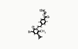 Cc1c(C2CC2)cc(Br)c(=O)n1CCc1ccc(C(=O)OOC(C)(C)C)cc1